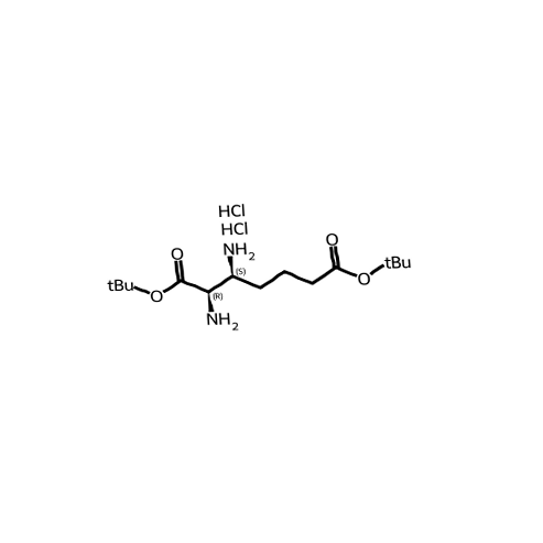 CC(C)(C)OC(=O)CCC[C@H](N)[C@@H](N)C(=O)OC(C)(C)C.Cl.Cl